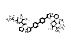 CC(C)OC(=O)N[C@H](C(=O)N1CCC[C@H]1c1nc(-c2ccc(-c3ccc(-c4c[nH]c([C@@H]5CCCN5C(=O)[C@H](C(C)C)N(C(=O)O)C(C)C)n4)cc3)cc2)c[nH]1)C(C)C